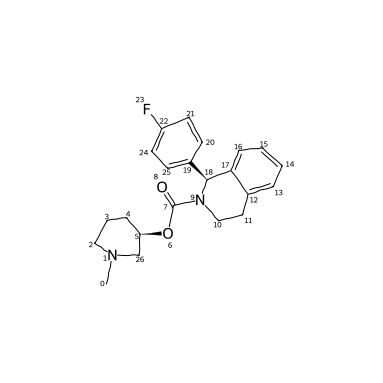 CN1CCC[C@@H](OC(=O)N2CCc3ccccc3[C@@H]2c2ccc(F)cc2)C1